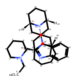 O=C(O)CN1CCCC[C@@H]1c1nc2ccccc2n1[C@@H]1C[C@H]2CCC[C@@H](C1)N2[C@@H]1C[C@@H]2CCCC[C@@H](C2)C1